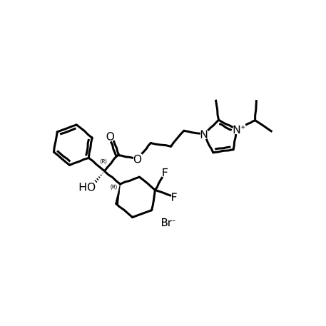 Cc1n(CCCOC(=O)[C@](O)(c2ccccc2)[C@@H]2CCCC(F)(F)C2)cc[n+]1C(C)C.[Br-]